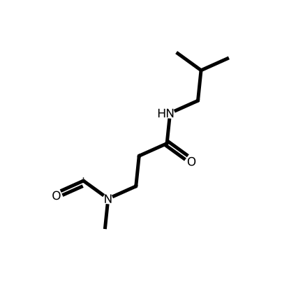 CC(C)CNC(=O)CCN(C)[C]=O